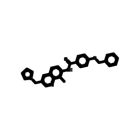 Cc1c(NC(=O)c2ccc(OCc3ccccc3)cc2)ccc2cc(Cn3cccc3)cnc12